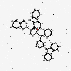 c1cc(N(c2ccc(-c3ccc4ccccc4c3)cc2)c2ccccc2-c2ccc3oc4ccccc4c3c2)cc(-n2c3ccccc3c3ccccc32)c1